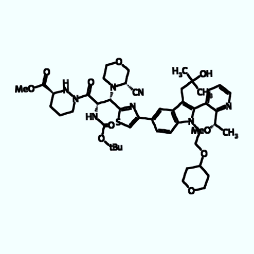 COC(=O)[C@@H]1CCCN(C(=O)[C@@H](NC(=O)OC(C)(C)C)[C@@H](c2nc(-c3ccc4c(c3)c(CC(C)(C)O)c(-c3cccnc3[C@H](C)OC)n4CCOC3CCOCC3)cs2)N2CCOC[C@@H]2C#N)N1